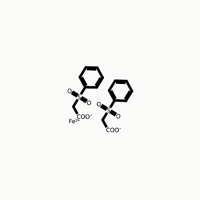 O=C([O-])CS(=O)(=O)c1ccccc1.O=C([O-])CS(=O)(=O)c1ccccc1.[Fe+2]